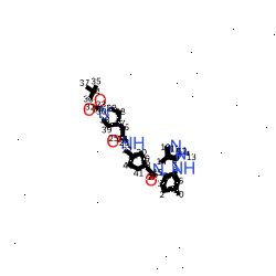 Cc1ccc2c(c1)Nc1c(cnn1C)CN2C(=O)C1CCC(CNC(=O)CC2CCN(C(=O)OC(C)(C)C)CC2)CC1